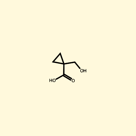 O=C(O)C1(CO)CC1